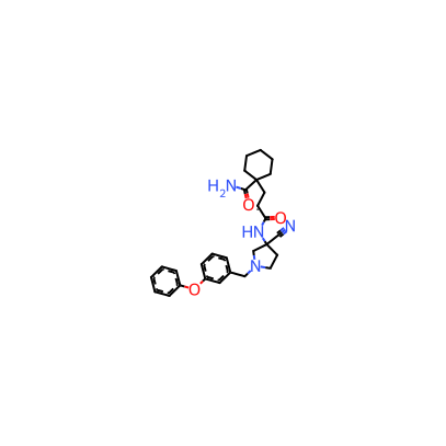 N#CC1(NC(=O)[CH]CC2(C(N)=O)CCCCC2)CCN(Cc2cccc(Oc3ccccc3)c2)C1